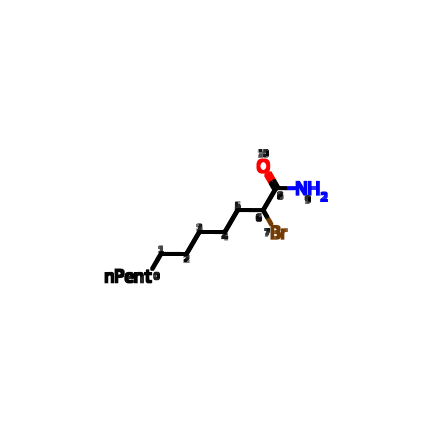 CCCCCCCCCCC(Br)C(N)=O